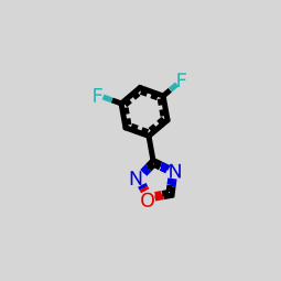 Fc1cc(F)cc(-c2ncon2)c1